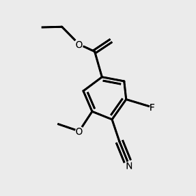 C=C(OCC)c1cc(F)c(C#N)c(OC)c1